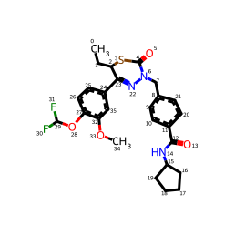 CCC1SC(=O)N(Cc2ccc(C(=O)NC3CCCC3)cc2)N=C1c1ccc(OC(F)F)c(OC)c1